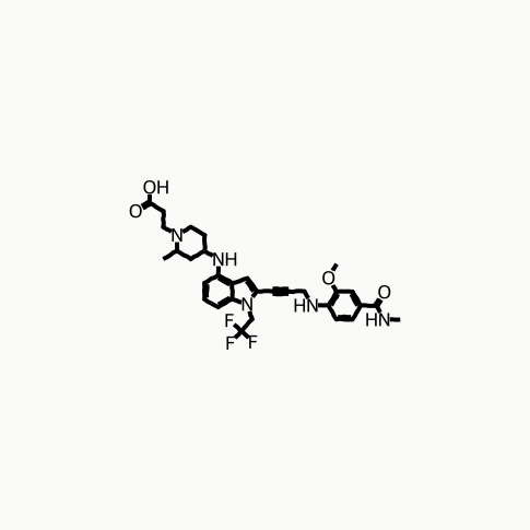 CNC(=O)c1ccc(NCC#Cc2cc3c(NC4CCN(CCC(=O)O)C(C)C4)cccc3n2CC(F)(F)F)c(OC)c1